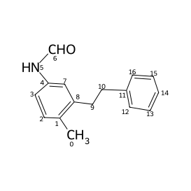 Cc1ccc(NC=O)cc1CCc1ccccc1